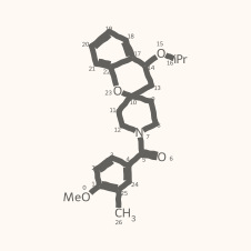 COc1ccc(C(=O)N2CCC3(CC2)CC(OC(C)C)c2ccccc2O3)cc1C